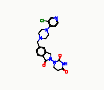 O=C1CCN(N2Cc3cc(CN4CCN(c5ccncc5Cl)CC4)ccc3C2=O)C(=O)N1